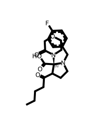 CCCCC(=O)C1CCN(Cc2ccc(F)cc2)[C@]1(C(=O)O)N1CCOCC1=O